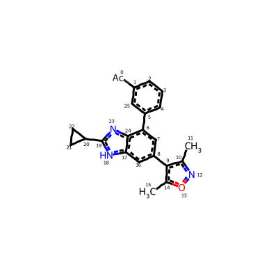 CC(=O)c1cccc(-c2cc(-c3c(C)noc3C)cc3[nH]c(C4CC4)nc23)c1